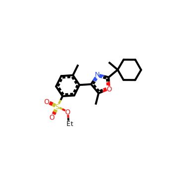 CCOS(=O)(=O)c1ccc(C)c(-c2nc(C3(C)CCCCC3)oc2C)c1